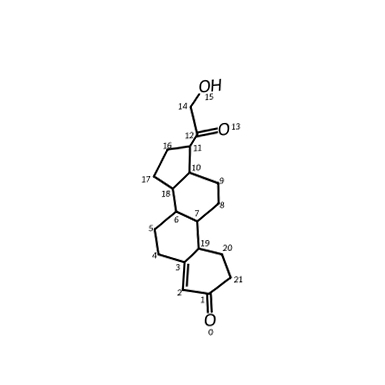 O=C1C=C2CCC3C(CCC4C(C(=O)CO)CCC43)C2CC1